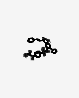 CC(=O)Nc1ccc(S(=O)(=O)Nc2cc3c(C=Cc4ccccc4)n[nH]c3cc2N2CCCC2)cc1